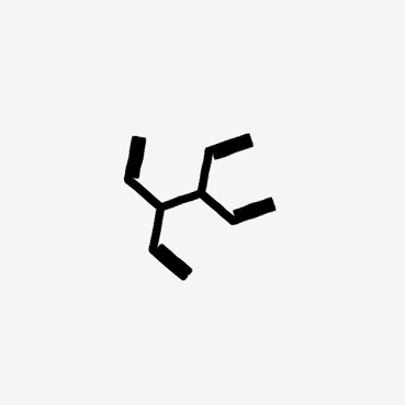 C=CC(C=C)C(C=C)C=C